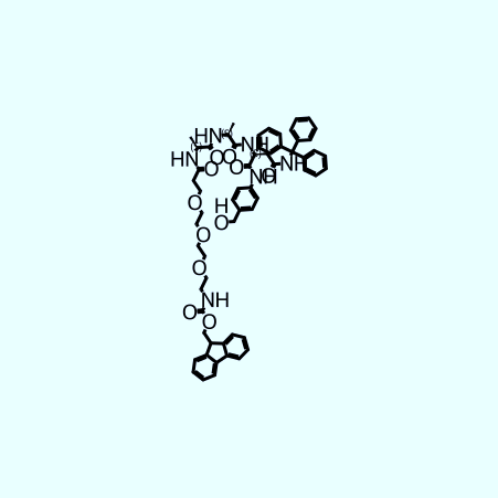 C[C@H](NC(=O)CCOCCOCCOCCNC(=O)OCC1c2ccccc2-c2ccccc21)C(=O)N[C@@H](C)C(=O)N[C@@H](CC(=O)NC(c1ccccc1)(c1ccccc1)c1ccccc1)C(=O)Nc1ccc(CO)cc1